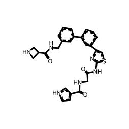 O=C(CNC(=O)c1cc[nH]c1)Nc1nc(-c2cccc(-c3cccc(CNC(=O)C4CNC4)c3)c2)cs1